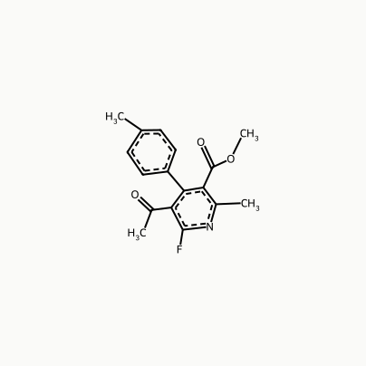 COC(=O)c1c(C)nc(F)c(C(C)=O)c1-c1ccc(C)cc1